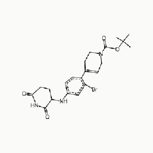 CC(C)(C)OC(=O)N1CC=C(c2ccc(NC3CCC(=O)NC3=O)cc2Br)CC1